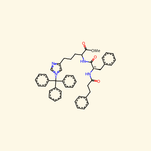 COC(=O)C(CCCc1cn(C(c2ccccc2)(c2ccccc2)c2ccccc2)cn1)NC(=O)[C@@H](Cc1ccccc1)NC(=O)CCc1ccccc1